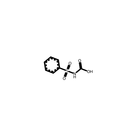 O=C(O)NS(=O)(=O)c1ccccc1